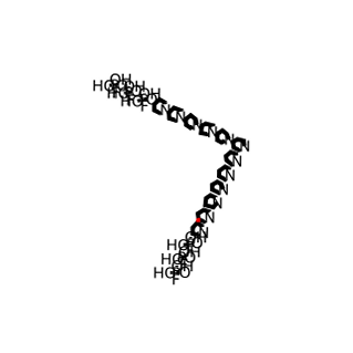 O=P(O)(O)F.O=P(O)(O)F.O=P(O)(O)F.O=P(O)(O)F.O=P(O)(O)F.O=P(O)(O)F.c1ccncc1.c1ccncc1.c1ccncc1.c1ccncc1.c1ccncc1.c1ccncc1.c1ccncc1.c1ccncc1.c1ccncc1.c1ccncc1.c1ccncc1.c1ccncc1